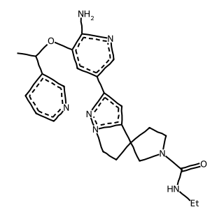 CCNC(=O)N1CCC2(CCn3nc(-c4cnc(N)c(OC(C)c5cccnc5)c4)cc32)C1